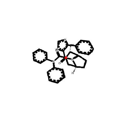 O=C(O)[C@@H]1C2CC[C@@H](CN1C(=O)N(c1ccccc1)c1ccccc1)N2C(=O)c1[nH]cnc1-c1ccccc1